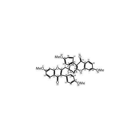 CCOC(=O)C(C#N)(Cc1oc2cc(OC)ccc2c(=O)c1-c1ccc(OC)cc1)Cc1oc2cc(OC)ccc2c(=O)c1-c1ccc(OC)cc1